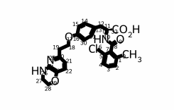 Cc1cccc(Cl)c1C(=O)N[C@@H](Cc1ccc(OCCc2ccc3c(n2)NCCO3)cc1)C(=O)O